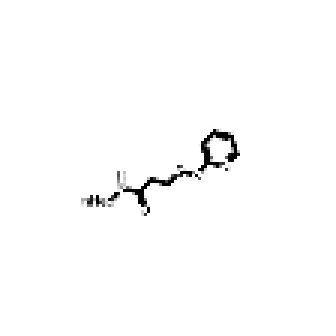 CCCCCCNC(=O)CCSSc1ccccn1